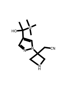 [CH2]C(O)(c1cnn(C2(CC#N)CNC2)c1)[Si](C)(C)C